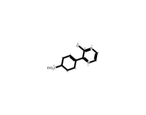 CCOC(=O)C1CC=C(c2nccnc2Cl)CC1